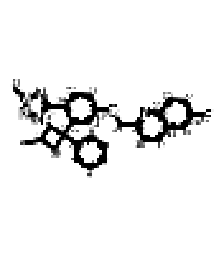 CC1CC(c2ccccc2)(c2cc(OCc3ccc4cc(F)ccc4n3)ccc2-c2nnn(C)n2)C1